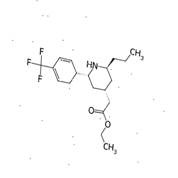 CCC[C@H]1C[C@H](CC(=O)OCC)C[C@H](C2C=CC(C(F)(F)F)=CC2)N1